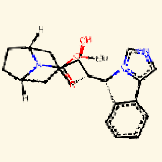 CC(C)(C)OC(=O)N1[C@@H]2CC[C@H]1CC1(C[C@@H]([C@H]3c4ccccc4-c4cncn43)[C@@H]1O)C2